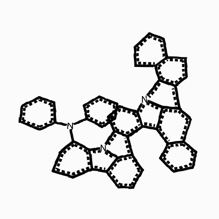 c1ccc(N(c2ccccc2)c2cccc3c4cccc5c6c7c8c9ccccc9cc9c%10ccc%11ccccc%11c%10n(c7ccc6n(c23)c45)c98)cc1